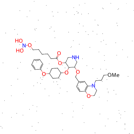 COCCCN1CCOc2ccc(COC3CNCC(OC(=O)CCCCCON(O)O)C3OC3CCC(Oc4ccccc4)CC3)cc21